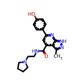 Cc1n[nH]c2nc(-c3ccc(O)cc3)cc(C(=O)NCCN3CCCC3)c12